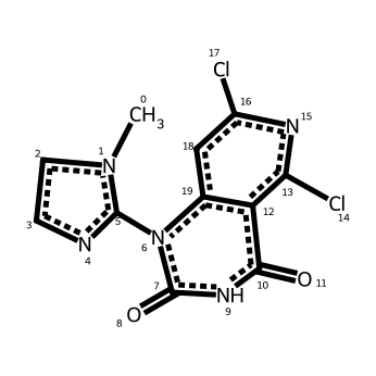 Cn1ccnc1-n1c(=O)[nH]c(=O)c2c(Cl)nc(Cl)cc21